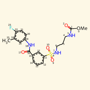 COC(=O)NCCCNS(=O)(=O)c1cccc(C(=O)Nc2ccc(F)c(C)c2)c1